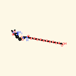 CCCN(OCC)C(=O)C1=Cc2ccc(-c3cccc(S(=O)(=O)N4CC(CNC(=O)CCOCCOCCOCCOCCOCCOCCOCCOCCOCCOCCC(=O)O)C4)c3)cc2N=C(N)C1